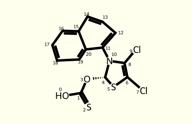 OC(=S)O[C@H]1SC(Cl)=C(Cl)N1c1cccc2ccccc12